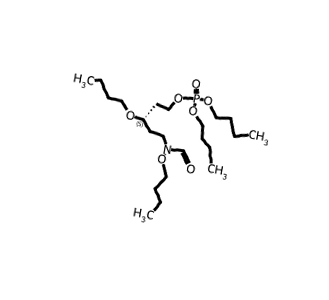 CCCCO[C@H](CCOP(=O)(OCCCC)OCCCC)CCN(C=O)OCCCC